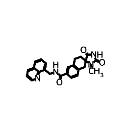 CN1C(=O)NC(=O)C12CCc1cc(C(=O)NCc3cccc4cccnc34)ccc1C2